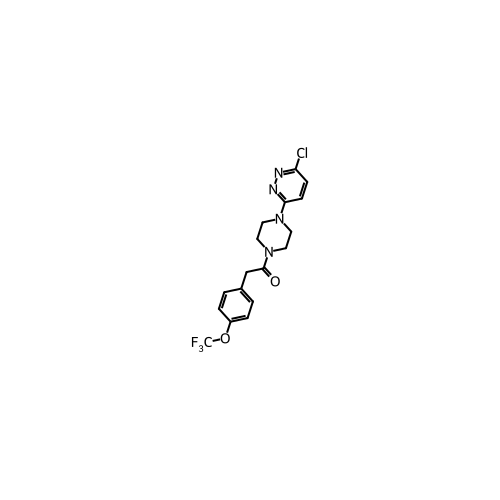 O=C(Cc1ccc(OC(F)(F)F)cc1)N1CCN(c2ccc(Cl)nn2)CC1